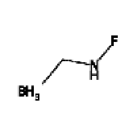 B.CCNF